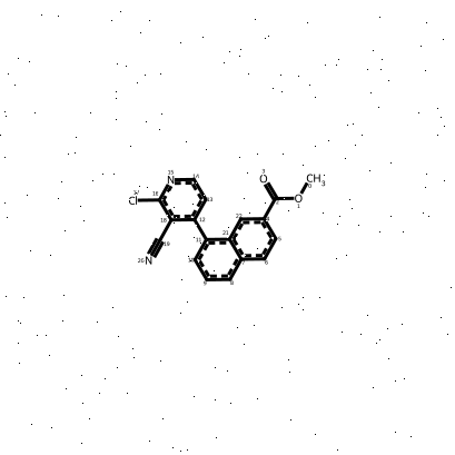 COC(=O)c1ccc2cccc(-c3ccnc(Cl)c3C#N)c2c1